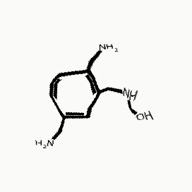 Nc1ccc(N)c(NO)c1